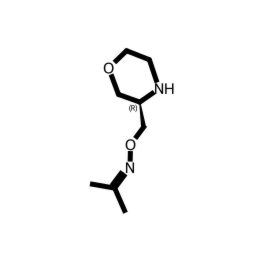 CC(C)=NOC[C@H]1COCCN1